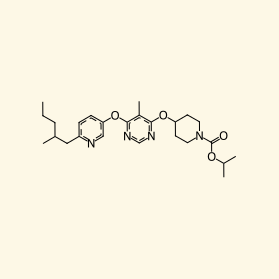 CCCC(C)Cc1ccc(Oc2ncnc(OC3CCN(C(=O)OC(C)C)CC3)c2C)cn1